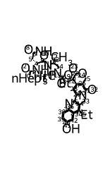 CCCCCCCC(=O)N[C@H](CC(N)=O)C(=O)N[C@@H](C)CN(C)C(=O)O[C@]1(CC)C(=O)OCc2c1cc1n(c2=O)Cc2c-1nc1ccc(O)cc1c2CC